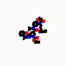 COCCCN1C(=O)C(C)(C)Oc2ccc(N(C(=O)[C@@H]3C[C@H](C(=O)N[C@@H](C)c4ccccc4)CN(C(=O)OC(C)(C)C)C3)C3CC3)cc21